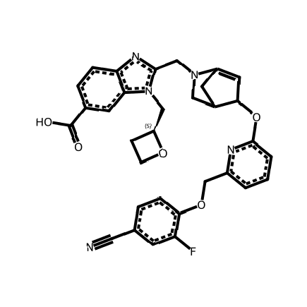 N#Cc1ccc(OCc2cccc(OC3C=C4CC3CN4Cc3nc4ccc(C(=O)O)cc4n3C[C@@H]3CCO3)n2)c(F)c1